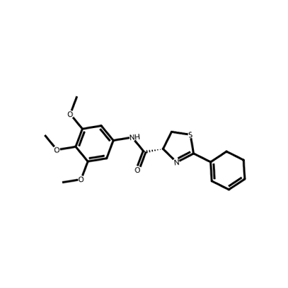 COc1cc(NC(=O)[C@@H]2CSC(C3=CC=CCC3)=N2)cc(OC)c1OC